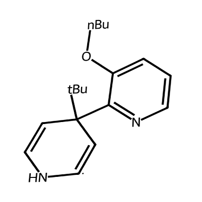 CCCCOc1cccnc1C1(C(C)(C)C)C=[C]NC=C1